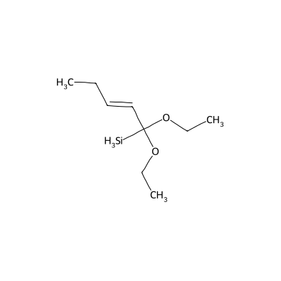 CCC=CC([SiH3])(OCC)OCC